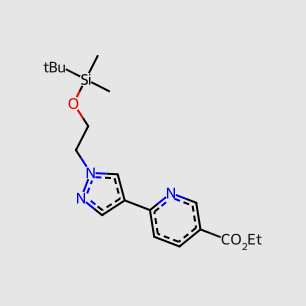 CCOC(=O)c1ccc(-c2cnn(CCO[Si](C)(C)C(C)(C)C)c2)nc1